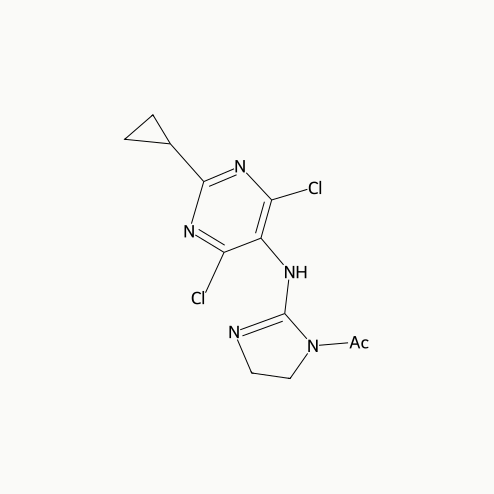 CC(=O)N1CCN=C1Nc1c(Cl)nc(C2CC2)nc1Cl